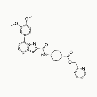 COc1ccc(-c2ccnc3cc(C(=O)N[C@H]4CC[C@@H](C(=O)OCc5ccccn5)CC4)nn23)cc1OC